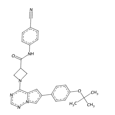 CC(C)(C)Oc1ccc(-c2cc3c(N4CC(C(=O)Nc5ccc(C#N)cc5)C4)ncnn3c2)cc1